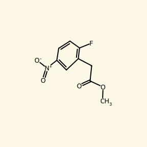 COC(=O)Cc1cc([N+](=O)[O-])ccc1F